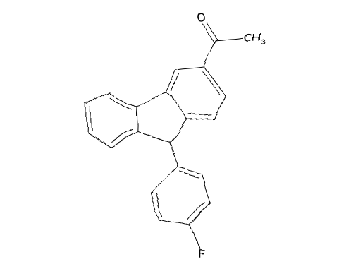 CC(=O)c1ccc2c(c1)-c1ccccc1C2c1ccc(F)cc1